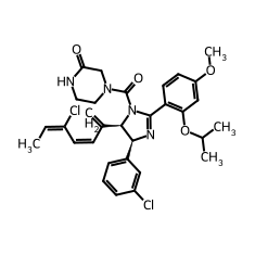 C=C(/C=C\C(Cl)=C/C)[C@@H]1[C@H](c2cccc(Cl)c2)N=C(c2ccc(OC)cc2OC(C)C)N1C(=O)N1CCNC(=O)C1